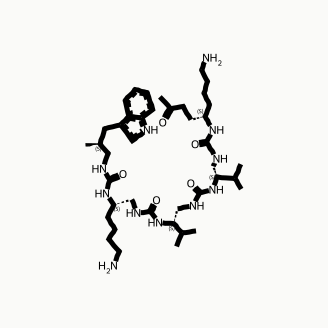 CC(=O)CC[C@H](CCCCN)NC(=O)NC[C@@H](NC(=O)NC[C@@H](NC(=O)NC[C@H](CCCCN)NC(=O)NC[C@@H](C)Cc1c[nH]c2ccccc12)C(C)C)C(C)C